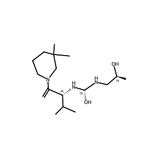 C=C([C@H](N[C@@H](O)NC[C@H](C)O)C(C)C)N1CCCC(C)(C)C1